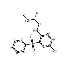 CO[C@H](C)CNc1nnc(Cl)cc1S(=O)(=O)c1ccccc1